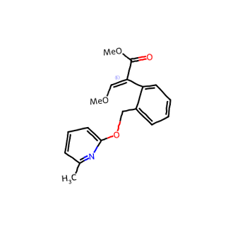 CO/C=C(/C(=O)OC)c1ccccc1COc1cccc(C)n1